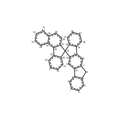 c1ccc2c(c1)Cc1cc3c(cc1-2)C1(c2ccccc2-3)c2ccccc2-c2c1ccc1ncccc21